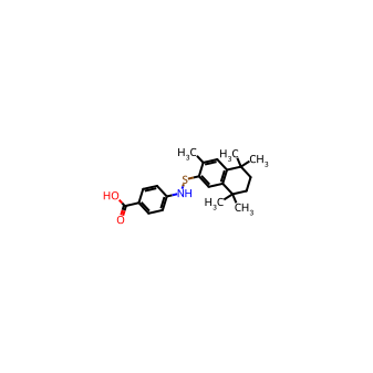 Cc1cc2c(cc1SNc1ccc(C(=O)O)cc1)C(C)(C)CCC2(C)C